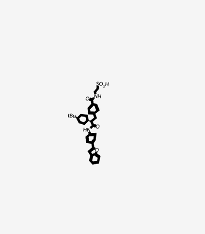 CC(C)(C)[C@H]1CC[C@@H](C(Cc2ccc(C(=O)NCCS(=O)(=O)O)cc2)C(=O)Nc2ccc(-c3cc4ccccc4o3)cc2)CC1